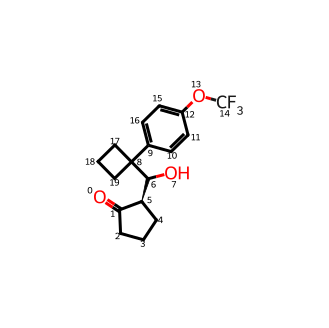 O=C1CCC[C@@H]1C(O)C1(c2ccc(OC(F)(F)F)cc2)CCC1